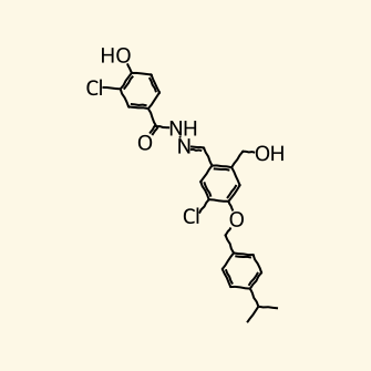 CC(C)c1ccc(COc2cc(CO)c(/C=N/NC(=O)c3ccc(O)c(Cl)c3)cc2Cl)cc1